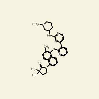 Cc1ccc2c(N3CCC(C)(C)C3=O)cccc2c1Oc1ncccc1-c1ccnc(NC2CCCN(C(=O)O)C2)n1